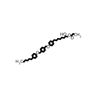 C=CC(=O)OCC(O)CCCCCCc1ccc(OCc2ccc(COc3ccc(CCCCCC)cc3)cc2)cc1